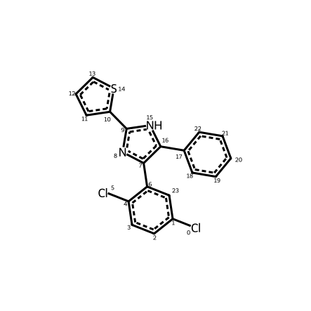 Clc1ccc(Cl)c(-c2nc(-c3cccs3)[nH]c2-c2ccccc2)c1